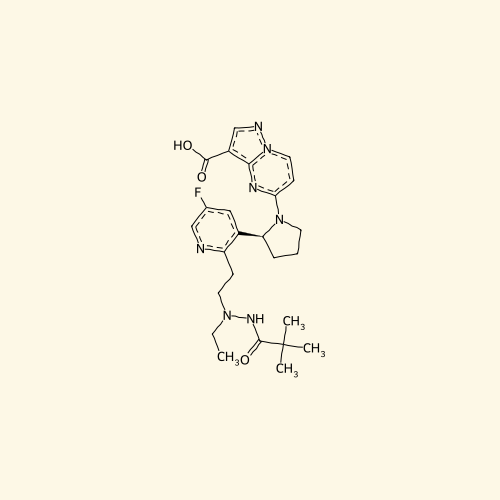 CCN(CCc1ncc(F)cc1[C@@H]1CCCN1c1ccn2ncc(C(=O)O)c2n1)NC(=O)C(C)(C)C